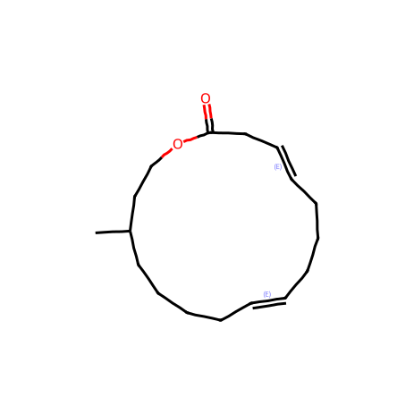 CC1CCCC/C=C/CCC/C=C/CC(=O)OCC1